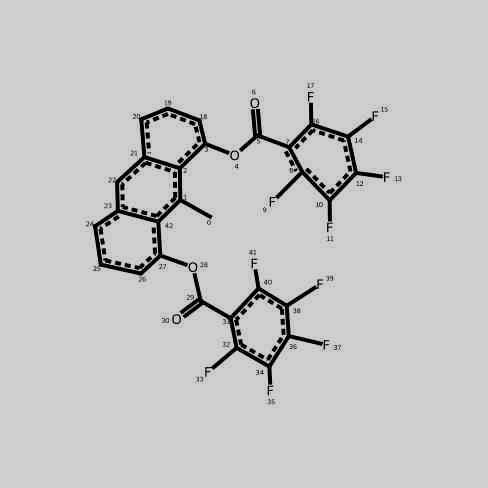 Cc1c2c(OC(=O)c3c(F)c(F)c(F)c(F)c3F)cccc2cc2cccc(OC(=O)c3c(F)c(F)c(F)c(F)c3F)c12